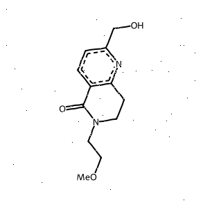 COCCN1CCc2nc(CO)ccc2C1=O